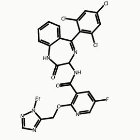 CCn1ncnc1COc1ncc(F)cc1C(=O)NC1N=C(c2c(Cl)cc(Cl)cc2Cl)c2ccccc2NC1=O